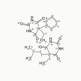 CCC1(CCC(C)C)C(=O)NC(=O)NC1=O.CCC1(c2ccccc2)C(=O)NC(=O)NC1=O